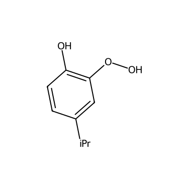 CC(C)c1ccc(O)c(OO)c1